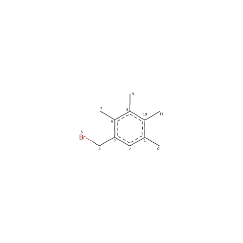 Cc1[c]c(CBr)c(C)c(C)c1C